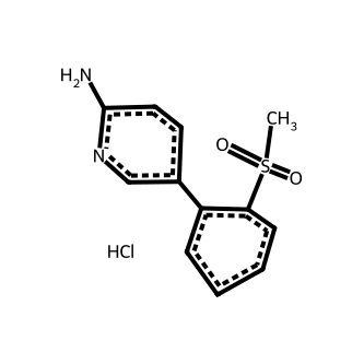 CS(=O)(=O)c1ccccc1-c1ccc(N)nc1.Cl